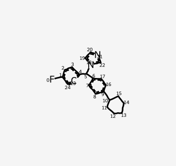 Fc1ccc(C(c2ccc(C3CCCCC3)cc2)n2ccnc2)cc1